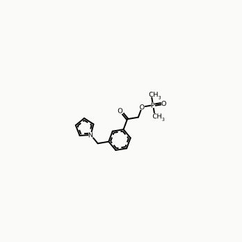 CP(C)(=O)OCC(=O)c1cccc(Cn2cccc2)c1